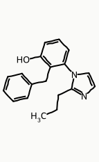 CCCc1nccn1-c1cccc(O)c1Cc1ccccc1